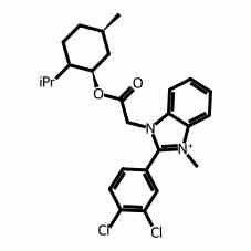 CC(C)C1CC[C@@H](C)C[C@H]1OC(=O)Cn1c(-c2ccc(Cl)c(Cl)c2)[n+](C)c2ccccc21